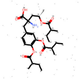 CCC(C)C(=O)Oc1ccc(CC(N)(C[C@H](C)OC(=O)C(C)CC)C(=O)O)cc1OC(=O)C(C)CC